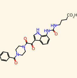 O=C(O)CCCNC(=O)Nc1cccc2c(C(=O)C(=O)N3CCN(C(=O)c4ccccc4)CC3)c[nH]c12